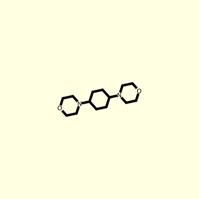 C1CN(C2CCC(N3CCOCC3)CC2)CCO1